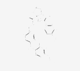 COc1ccc(Oc2ccc(CNC(=O)C3(NC(=O)c4ccc(Cl)cc4)CCCC3)cc2)c(Cl)c1